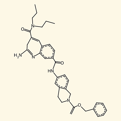 C=C(OCc1ccccc1)N1CCc2cc(NC(=O)c3ccc4c(c3)N=C(N)CC(C(=O)N(CCC)CCC)=C4)ccc2C1